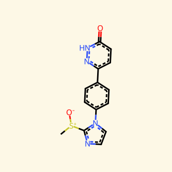 C[S+]([O-])c1nccn1-c1ccc(-c2ccc(=O)[nH]n2)cc1